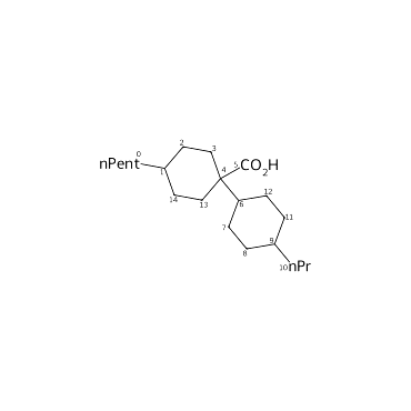 CCCCCC1CCC(C(=O)O)(C2CCC(CCC)CC2)CC1